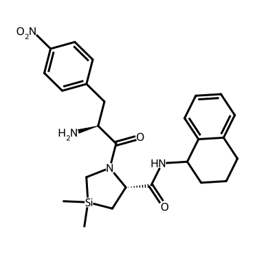 C[Si]1(C)C[C@@H](C(=O)NC2CCCc3ccccc32)N(C(=O)[C@@H](N)Cc2ccc([N+](=O)[O-])cc2)C1